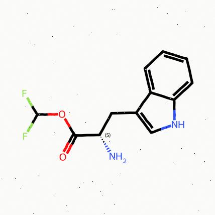 N[C@@H](Cc1c[nH]c2ccccc12)C(=O)OC(F)F